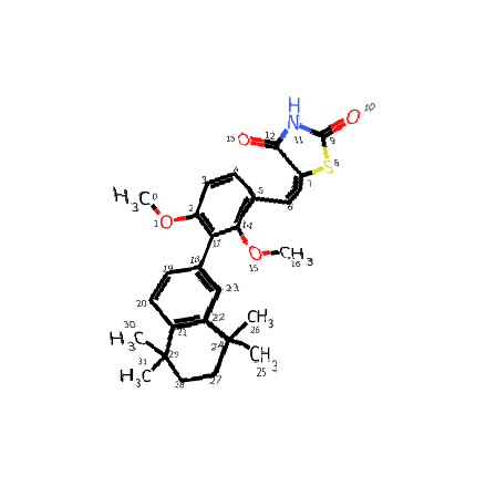 COc1ccc(C=C2SC(=O)NC2=O)c(OC)c1-c1ccc2c(c1)C(C)(C)CCC2(C)C